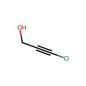 OCC#CCl